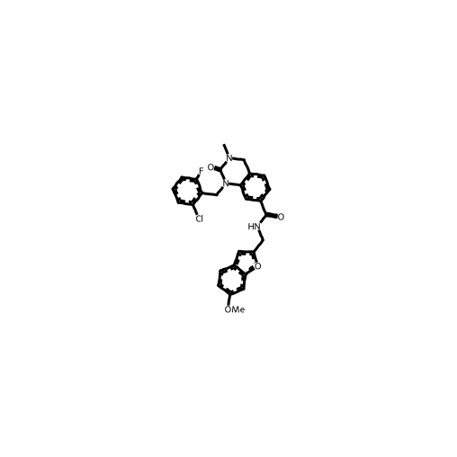 COc1ccc2cc(CNC(=O)c3ccc4c(c3)N(Cc3c(F)cccc3Cl)C(=O)N(C)C4)oc2c1